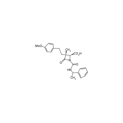 COc1ccc(CC[C@@]2(C)C(=O)N(C(=O)NC(C)c3ccccc3)[C@@H]2C(=O)O)cc1